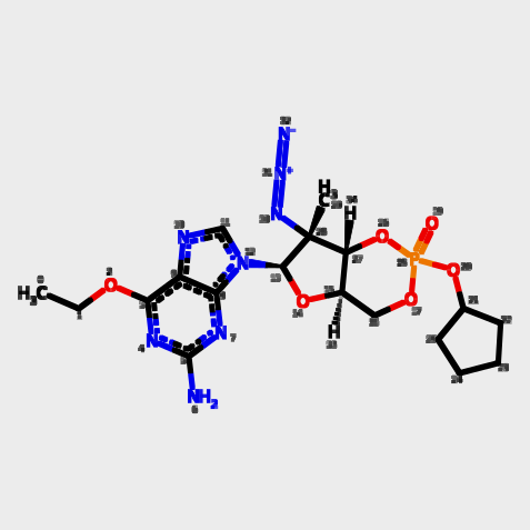 CCOc1nc(N)nc2c1ncn2[C@@H]1O[C@@H]2COP(=O)(OC3CCCC3)O[C@H]2[C@@]1(C)N=[N+]=[N-]